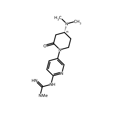 CNC(=N)Nc1ccc(N2CC[C@@H](N(C)C)CC2=O)cn1